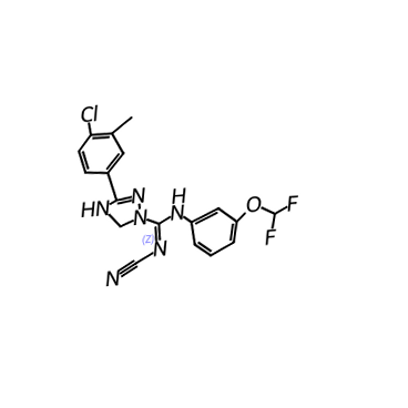 Cc1cc(C2=NN(/C(=N\C#N)Nc3cccc(OC(F)F)c3)CN2)ccc1Cl